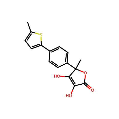 Cc1ccc(-c2ccc(C3(C)OC(=O)C(O)=C3O)cc2)s1